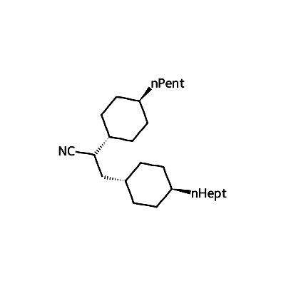 CCCCCCC[C@H]1CC[C@H](CC(C#N)[C@H]2CC[C@H](CCCCC)CC2)CC1